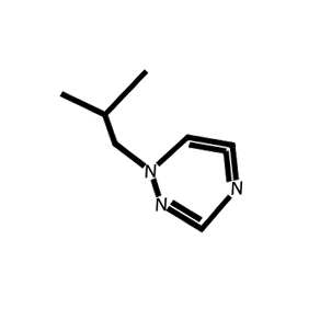 CC(C)CN1C=C=NC=N1